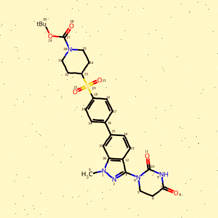 Cn1nc(N2CCC(=O)NC2=O)c2ccc(-c3ccc(S(=O)(=O)C4CCN(C(=O)OC(C)(C)C)CC4)cc3)cc21